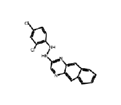 Clc1ccc(NNc2cnc3cc4ccccc4cc3n2)c(Cl)c1